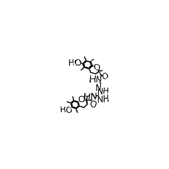 Cc1c(C)c2c(c(C)c1O)CCC(C)(C(=O)N/C=N/NC(=N)NC(=O)C1(C)CCc3c(C)c(O)c(C)c(C)c3O1)O2